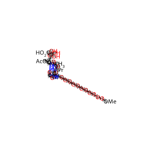 COCCOCCOCCOCCOCCOCCOCCOCCOCCOCCOCCOCCn1cc(C(CC(=O)N[C@H](C(=O)N[C@@H](C)C(=O)Nc2ccc(COC(C)=O)c(CC[C@@H]3O[C@H](C(=O)O)[C@@H](O)[C@H](O)[C@H]3O)c2)C(C)C)N2C(=O)C=CC2=O)nn1